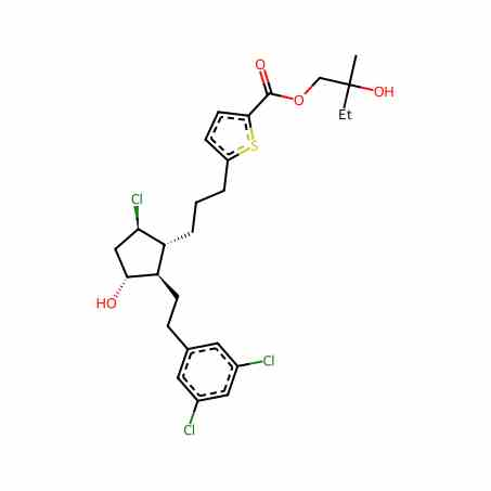 CCC(C)(O)COC(=O)c1ccc(CCC[C@@H]2[C@@H](CCc3cc(Cl)cc(Cl)c3)[C@H](O)C[C@H]2Cl)s1